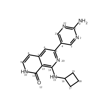 Nc1ncc(-c2cc3cc[nH]c(=O)c3c(NC3CCC3)n2)cn1